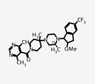 COC1Cc2cc(C(F)(F)F)ccc2C1N1CCN(C2(C)CCN(C(=O)c3c(C)ncnc3C)CC2)C[C@@H]1C